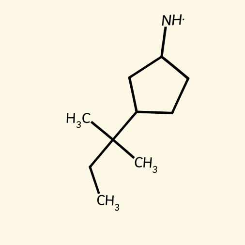 CCC(C)(C)C1CCC([NH])C1